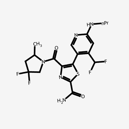 CCCNc1cc(C(F)F)c(-c2sc(C(N)=O)nc2C(=O)N2CC(F)(F)CC2C)cn1